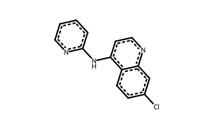 Clc1ccc2c(Nc3ccccn3)ccnc2c1